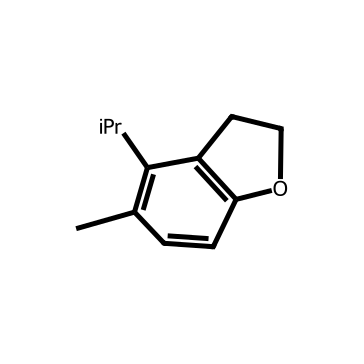 Cc1ccc2c(c1C(C)C)CCO2